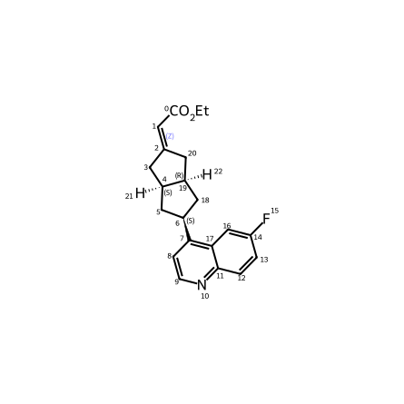 CCOC(=O)/C=C1/C[C@@H]2C[C@H](c3ccnc4ccc(F)cc34)C[C@@H]2C1